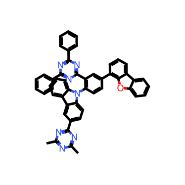 Cc1nc(C)nc(-c2ccc3c(c2)c2ccccc2n3-c2ccc(-c3cccc4c3oc3ccccc34)cc2-c2nc(-c3ccccc3)nc(-c3ccccc3)n2)n1